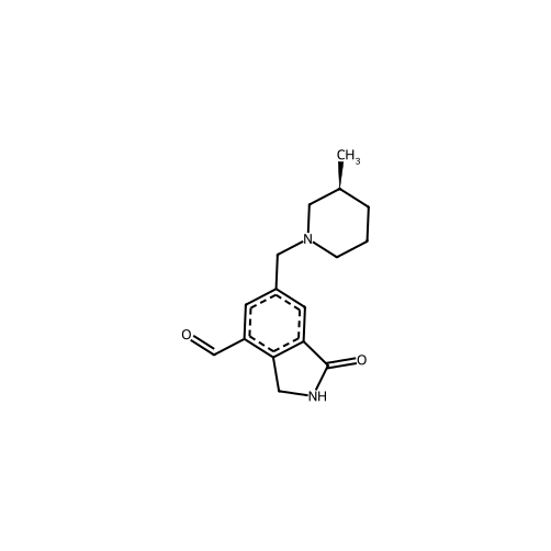 C[C@H]1CCCN(Cc2cc(C=O)c3c(c2)C(=O)NC3)C1